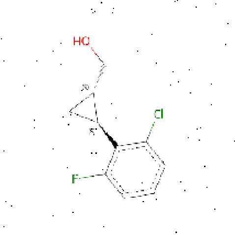 OC[C@H]1C[C@@H]1c1c(F)cccc1Cl